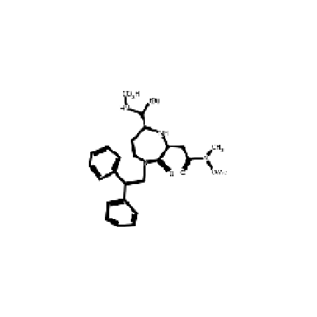 CON(C)C(=O)C[C@@H]1N[C@H](C(NC(=O)O)C(C)(C)C)CCN(CC(c2ccccc2)c2ccccc2)C1=O